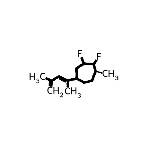 C=C(C)/C=C(\C)C1CC[C@H](C)C(F)C(F)C1